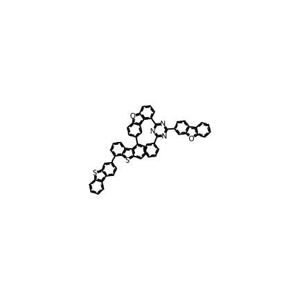 c1ccc(-c2nc(-c3ccc4c(c3)oc3ccccc34)nc(-c3cccc4oc5ccc(-c6cccc7sc8c(-c9ccc%10c(c9)sc9ccccc9%10)cccc8c67)cc5c34)n2)cc1